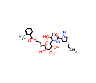 CCC[C@H]1CN[C@H](C(=O)N[C@@H]([C@H]2O[C@H](SCCOC(=O)c3ccccc3C)[C@H](O)[C@@H](O)[C@H]2O)[C@@H](C)O)C1